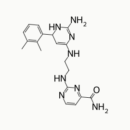 Cc1cccc(C2C=C(NCCNc3nccc(C(N)=O)n3)N=C(N)N2)c1C